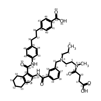 CCCN(CCN(C)C(=O)CCC(=O)O)Cc1cccc(C(=O)Nc2sc3c(c2C(=O)Nc2ccc(CCCc4ccc(C(=O)O)cc4)cc2)CCCC3)c1